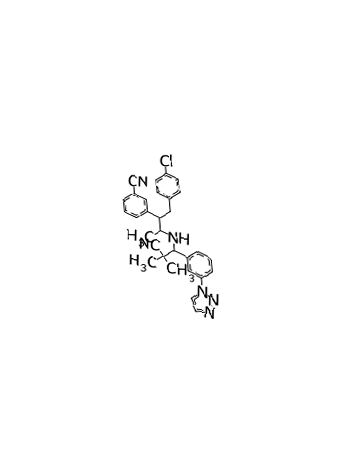 CC(NC(c1cccc(-n2ccnn2)c1)C(C)(C)C#N)C(Cc1ccc(Cl)cc1)c1cccc(C#N)c1